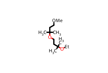 CCOC(C)(C)CCOC(C)(C)CCOC